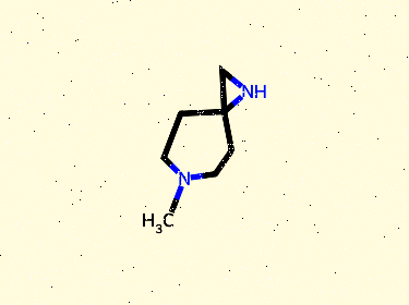 CN1CCC2(CC1)CN2